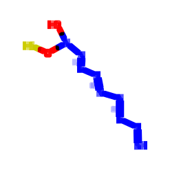 N=N/N=N/N=N/N=N/N(O)OS